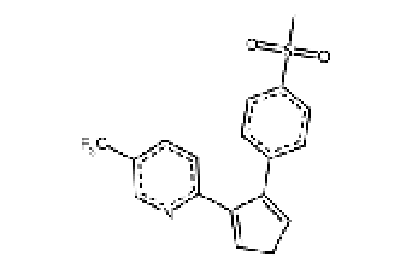 CS(=O)(=O)c1ccc(C2=CCC=C2c2ccc(C(F)(F)F)cn2)cc1